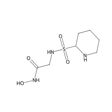 O=C(CNS(=O)(=O)C1CCCCN1)NO